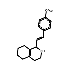 COc1ccc(/C=C/C2NCCC3=C2CCCC3)cc1